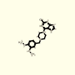 COc1ccc(CN2CCN(c3[nH]c(Cl)nc4ncnc3-4)CC2)cc1OC